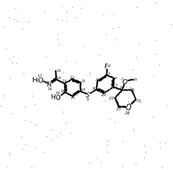 COC1(c2cc(F)cc(Sc3ccc(/C(C)=N/O)c(O)c3)c2)CCOCC1